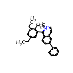 CCc1cc(CC)c(C)c(-c2c3ccc(-c4ccccc4)cc3cc[n+]2C)c1